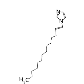 CCCCCCCCCCCCC=Cn1ccnc1